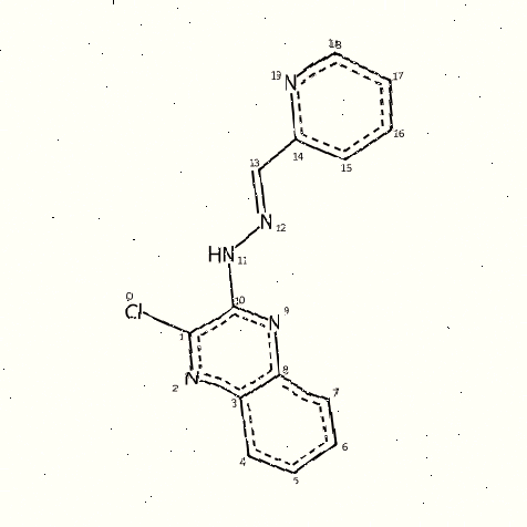 Clc1nc2ccccc2nc1NN=Cc1ccccn1